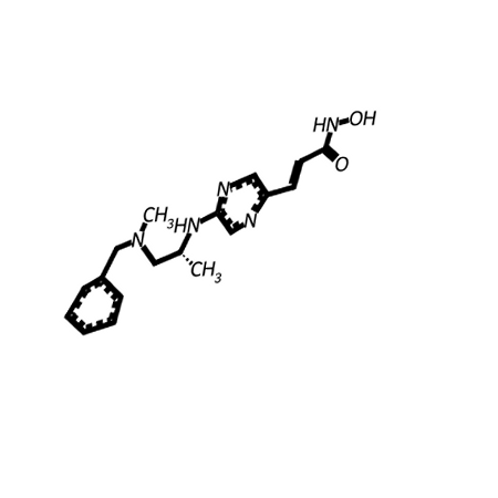 C[C@H](CN(C)Cc1ccccc1)Nc1cnc(/C=C/C(=O)NO)cn1